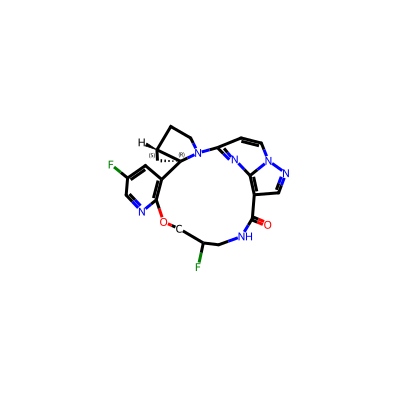 O=C1NCC(F)COc2ncc(F)cc2[C@@]23C[C@@H]2CCN3c2ccn3ncc1c3n2